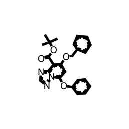 CC(C)(C)OC(=O)c1c(OCc2ccccc2)cc(Oc2ccccc2)n2ncnc12